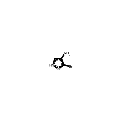 Nc1c[nH]nc1Br